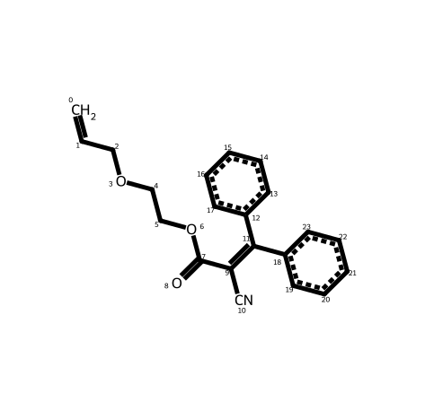 C=CCOCCOC(=O)C(C#N)=C(c1ccccc1)c1ccccc1